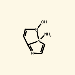 N[N+]12C=CN=C1C=CN2O